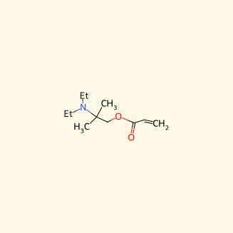 C=CC(=O)OCC(C)(C)N(CC)CC